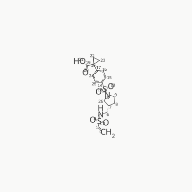 C=CS(=O)(=O)NC[C@H]1CCN(S(=O)(=O)c2ccc(C3(C(=O)O)CC3)cc2)C1